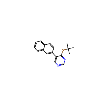 CC(C)(C)Sc1ncncc1-c1ccc2ccccc2c1